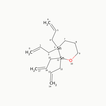 C=C[CH2][Sn]1([CH2]C=C)[CH2]CC[O][Sn]1([CH2]C=C)[CH2]C=C